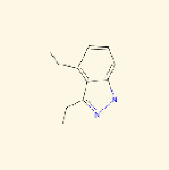 CCC1=N[N]c2cccc(CC)c21